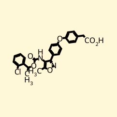 Cc1onc(-c2ccc(Oc3ccc(CC(=O)O)cc3)cc2)c1NC(=O)OC(C)c1ccccc1Cl